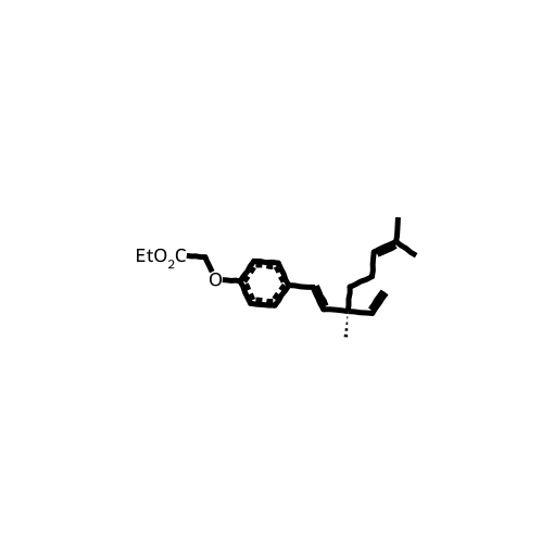 C=C[C@@](C)(/C=C/c1ccc(OCC(=O)OCC)cc1)CCC=C(C)C